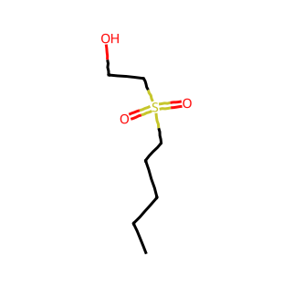 CCCCCS(=O)(=O)CCO